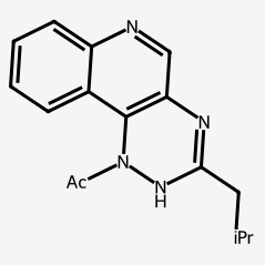 CC(=O)N1NC(CC(C)C)=Nc2cnc3ccccc3c21